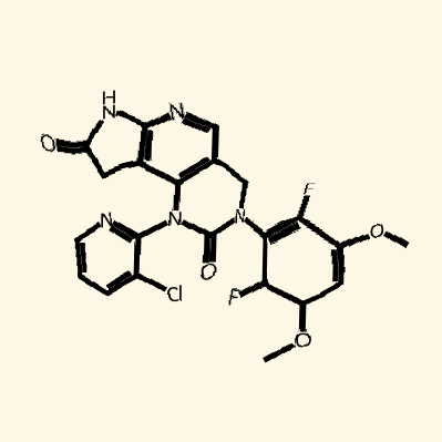 COC1=CC(OC)C(F)C(N2Cc3cnc4c(c3N(c3ncccc3Cl)C2=O)CC(=O)N4)=C1F